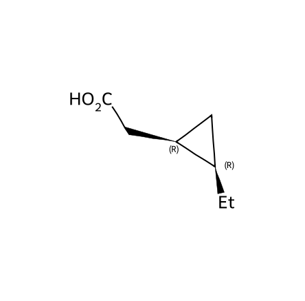 CC[C@@H]1C[C@@H]1CC(=O)O